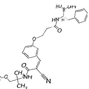 COCC(C)(C)NC(=O)C(C#N)=Cc1cccc(OCCC(=O)N[C@@H](Cc2ccccc2)B(O)O)c1